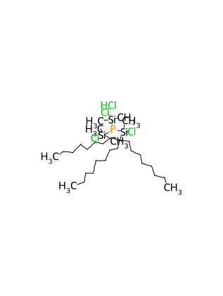 CCCCCCCCC(CCCCCCCC)(CCCCCCCC)[Si](C)(Cl)P([Si](C)(C)Cl)[Si](C)(C)Cl.Cl